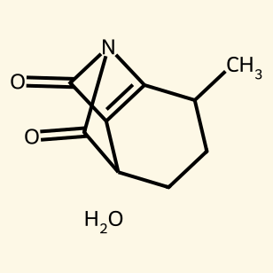 CC1CCC2C(=O)N3C(=O)C2=C13.O